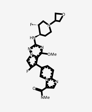 CNC(=O)c1cnc2ccc(-c3c(F)cn4nc(N[C@@H]5CCN(C6COC6)C[C@H]5F)nc(OC)c34)cn12